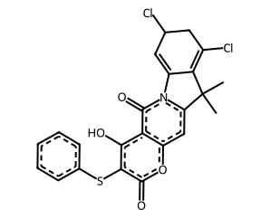 CC1(C)C2=C(Cl)CC(Cl)C=C2n2c1cc1oc(=O)c(Sc3ccccc3)c(O)c1c2=O